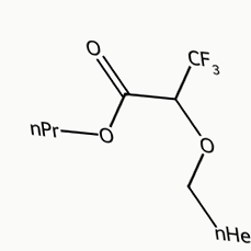 CCCCCCCCOC(C(=O)OCCC)C(F)(F)F